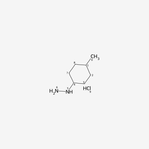 CC1CCC(NN)CC1.Cl